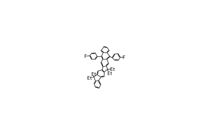 CCC1(CC)c2ccccc2-c2cc3c(cc21)-c1cc2c(-c4ccc(F)cc4)c4ccccc4c(-c4ccc(F)cc4)c2cc1C3(CC)CC